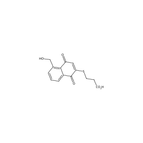 O=C(O)CCSC1=CC(=O)c2c(CO)cccc2C1=O